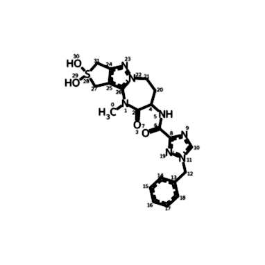 CN1C(=O)C(NC(=O)c2ncn(Cc3ccccc3)n2)CCn2nc3c(c21)CS(O)(O)C3